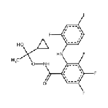 CC(O)(ONC(=O)c1cc(F)c(F)c(F)c1Nc1ccc(I)cc1F)C1CC1